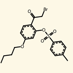 CCCCOc1ccc(C(=O)CBr)c(OS(=O)(=O)c2ccc(C)cc2)c1